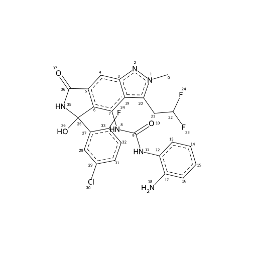 Cn1nc2cc3c(c(NC(=O)Nc4ccccc4N)c2c1CC(F)F)C(O)(c1cc(Cl)ccc1F)NC3=O